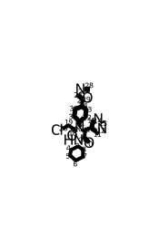 O=C(NC1CCCCC1)C(c1cncnc1)N(C(=O)CCl)c1ccc(-c2cnco2)cc1